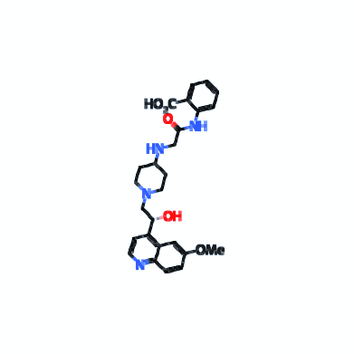 COc1ccc2nccc([C@@H](O)CN3CCC(NCC(=O)Nc4ccccc4C(=O)O)CC3)c2c1